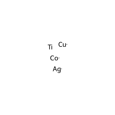 [Ag].[Co].[Cu].[Ti]